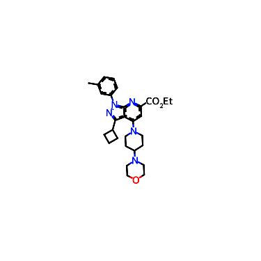 CCOC(=O)c1cc(N2CCC(N3CCOCC3)CC2)c2c(C3CCC3)nn(-c3cccc(C)c3)c2n1